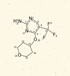 Nc1ncc(C(F)(F)F)c(OC2CCOCC2)n1